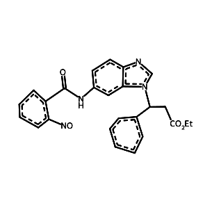 CCOC(=O)CC(c1ccccc1)n1cnc2ccc(NC(=O)c3ccccc3N=O)cc21